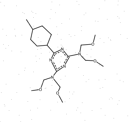 COCN(COC)c1nc(C2CCC(C)CC2)nc(N(COC)COC)n1